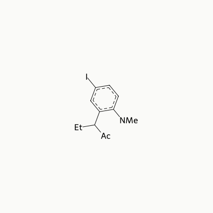 CCC(C(C)=O)c1cc(I)ccc1NC